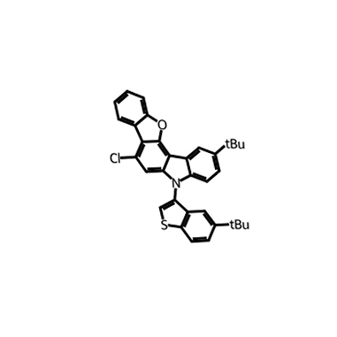 CC(C)(C)c1ccc2scc(-n3c4ccc(C(C)(C)C)cc4c4c5oc6ccccc6c5c(Cl)cc43)c2c1